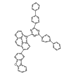 c1ccc(-c2ccc(-c3nc(-c4ccc(-c5ccccc5)cc4)nc(-n4c5cccc6ccc7c(-c8ccc9oc%10ccccc%10c9c8)ccc4c7c65)n3)cc2)cc1